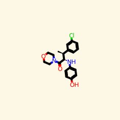 C[C@@H](c1cccc(Cl)c1)[C@H](Nc1ccc(O)cc1)C(=O)N1CCOCC1